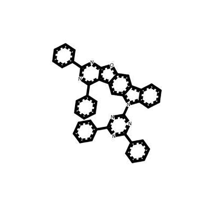 c1ccc(-c2nc(-c3ccccc3)nc(-n3c4ccccc4c4cc5oc6nc(-c7ccccc7)nc(-c7ccccc7)c6c5cc43)n2)cc1